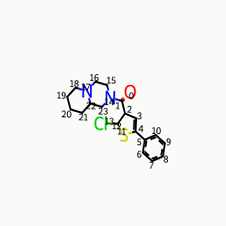 O=C(C1C=C(c2ccccc2)SC1Cl)N1CCN2CCCCC2C1